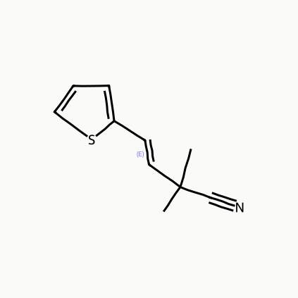 CC(C)(C#N)/C=C/c1cccs1